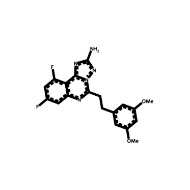 COc1cc(CCc2nc3cc(F)cc(F)c3c3nc(N)nn23)cc(OC)c1